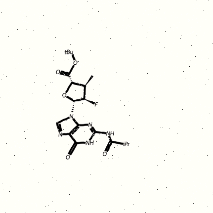 CC(C)C(=O)Nc1nc2c(ncn2[C@@H]2O[C@H](C(=O)OC(C)(C)C)[C@@H](C)[C@H]2F)c(=O)[nH]1